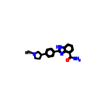 CCCN1CCC(c2ccc(-c3nc4c(C(N)=O)cccc4[nH]3)cc2)C1